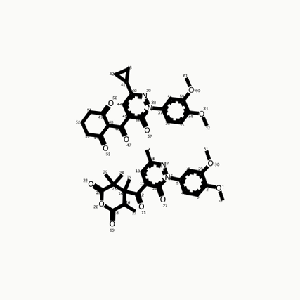 COc1ccc(-n2nc(C)cc(C(=O)C3(C)C(C)C(=O)OC(=O)C3(C)C)c2=O)cc1OC.COc1ccc(-n2nc(C3CC3)cc(C(=O)C3C(=O)CCCC3=O)c2=O)cc1OC